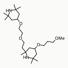 COCCCOC1CC(C)(C)NC(C)(CCOCCOC2CC(C)(C)NC(C)(C)C2)C1